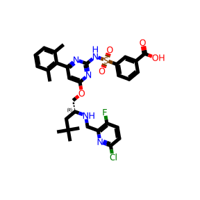 Cc1cccc(C)c1-c1cc(OC[C@@H](CC(C)(C)C)NCc2nc(Cl)ccc2F)nc(NS(=O)(=O)c2cccc(C(=O)O)c2)n1